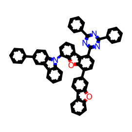 c1ccc(-c2ccc3c(c2)c2ccccc2n3-c2cccc3c2oc2c(-c4ccc5c(c4)oc4ccccc45)ccc(-c4nc(-c5ccccc5)nc(-c5ccccc5)n4)c23)cc1